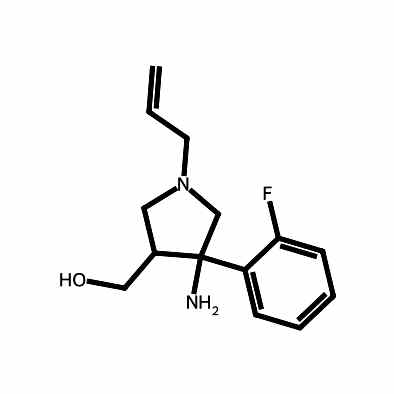 C=CCN1CC(CO)C(N)(c2ccccc2F)C1